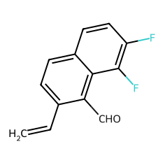 C=Cc1ccc2ccc(F)c(F)c2c1C=O